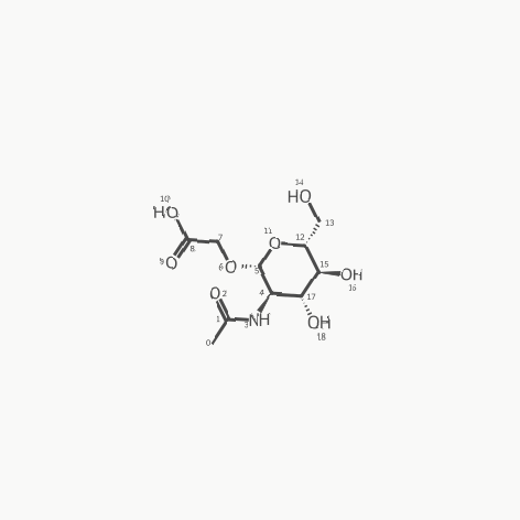 CC(=O)N[C@H]1[C@H](OCC(=O)O)O[C@H](CO)[C@@H](O)[C@@H]1O